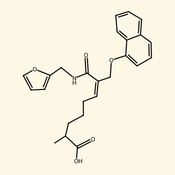 CC(CCCC=C(COc1cccc2ccccc12)C(=O)NCc1ccco1)C(=O)O